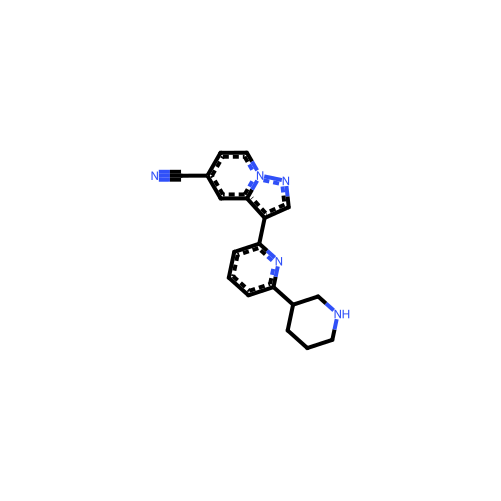 N#Cc1ccn2ncc(-c3cccc(C4CCCNC4)n3)c2c1